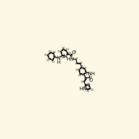 O=C1Nc2cc(/C=C/CNC(=O)c3cccc(Nc4ccccc4)n3)ccc2C1=Cc1ccc[nH]1